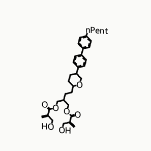 C=C(CO)C(=O)OCC(CCC1CCC(c2ccc(-c3ccc(CCCCC)cc3)cc2)CO1)COC(=O)C(=C)CO